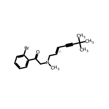 CN(C/C=C/C#CC(C)(C)C)CC(=O)c1ccccc1Br